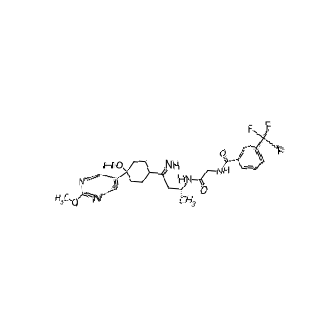 COc1ncc(C2(O)CCC(C(=N)C[C@@H](C)NC(=O)CNC(=O)c3cccc(C(F)(F)F)c3)CC2)cn1